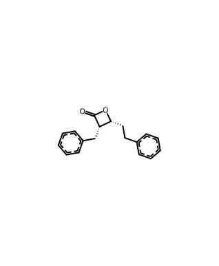 O=C1O[C@H](CCc2ccccc2)[C@@H]1Cc1ccccc1